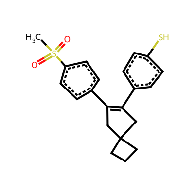 CS(=O)(=O)c1ccc(C2=C(c3ccc(S)cc3)CC3(CCC3)C2)cc1